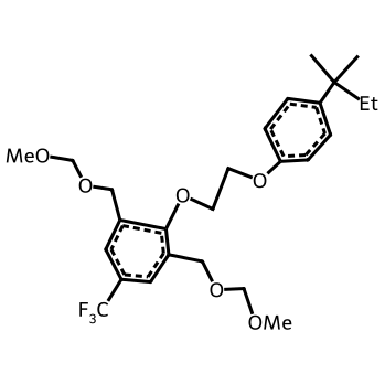 CCC(C)(C)c1ccc(OCCOc2c(COCOC)cc(C(F)(F)F)cc2COCOC)cc1